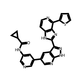 O=C(Nc1cncc(-c2cnc3[nH]nc(-c4nc5c(-c6cccs6)nccc5[nH]4)c3c2)c1)C1CC1